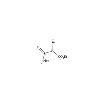 CCCCCCC(=O)C(C(C)=O)C(=O)OCC